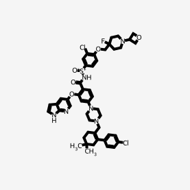 CC1(C)CCC(CN2CCN(c3ccc(C(=O)N[S+]([O-])c4ccc(OCC5(F)CCN(C6COC6)CC5)c(Cl)c4)c(Oc4cnc5[nH]ccc5c4)c3)CC2)=C(c2ccc(Cl)cc2)C1